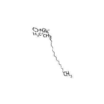 CCCCCCCCCCCCCCCCCCC[n+]1ccn(-c2ccccc2)c1C(C)C